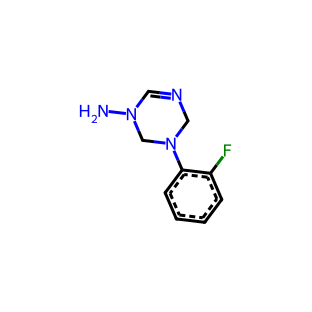 NN1C=NCN(c2ccccc2F)C1